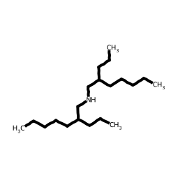 CCCCCC(CCC)CNCC(CCC)CCCCC